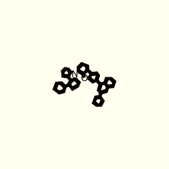 c1ccc(-c2cc(-c3ccc4c(c3)oc3c(-n5c6ccccc6c6c(-c7ccccc7)cccc65)cccc34)c3ccccc3c2)cc1